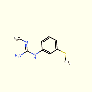 CN=C(N)Nc1cccc(SC)c1